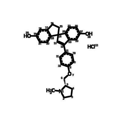 CN1CCC[C@H]1COc1ccc(C2=CC3(CCc4cc(O)ccc43)c3ccc(O)cc32)cc1.Cl